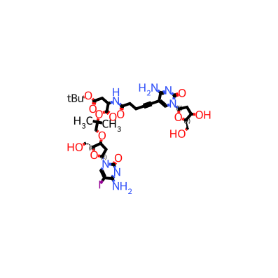 CC(C)(C)OC(=O)CC(NC(=O)CCC#Cc1cn([C@H]2CC(O)[C@@H](CO)O2)c(=O)nc1N)C(=O)OC(C)(C)COC1C[C@H](n2cc(I)c(N)nc2=O)O[C@@H]1CO